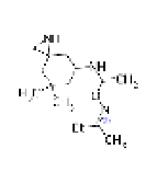 C=C(NC1CC(C)(C)CC2(CN2)C1)O/N=C(/C)CC